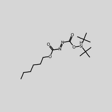 CCCCCCOC(=O)N=NC(=O)O[SiH](C(C)(C)C)C(C)(C)C